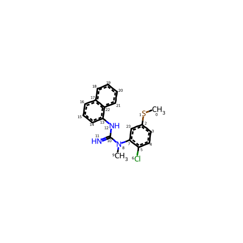 CSc1ccc(Cl)c(N(C)C(=N)Nc2cccc3ccccc23)c1